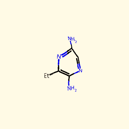 CCc1nc(N)cnc1N